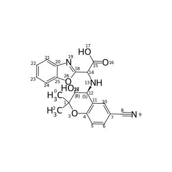 CC1(C)Oc2ccc(C#N)cc2[C@H](NC(C(=O)O)c2nc3ccccc3o2)[C@H]1O